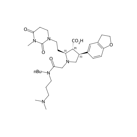 CCCCN(CCCN(C)C)C(=O)CN1C[C@H](c2ccc3c(c2)CCO3)[C@@H](C(=O)O)[C@@H]1CCN1CCC(=O)N(C)C1=O